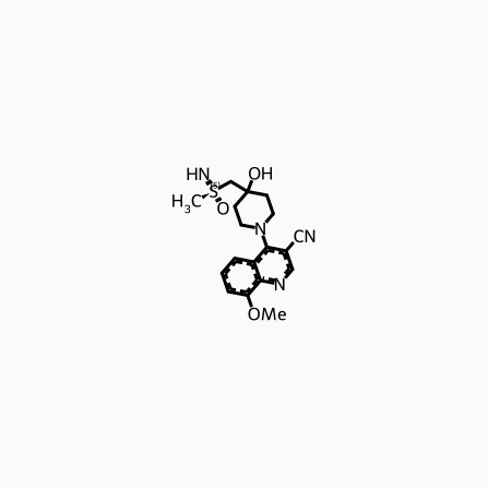 COc1cccc2c(N3CCC(O)(C[S@@](C)(=N)=O)CC3)c(C#N)cnc12